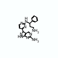 NCCC(Nc1nccc(-c2n[nH]c3nc(N)ncc23)n1)c1ccccc1